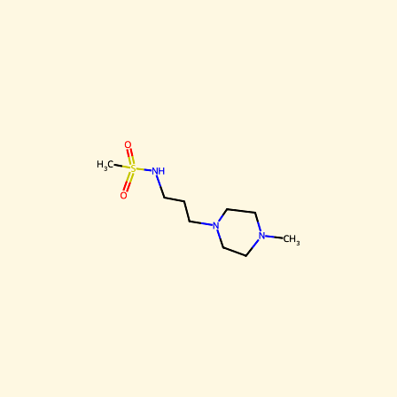 CN1CCN(CCCNS(C)(=O)=O)CC1